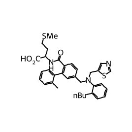 CCCCc1ccccc1N(Cc1ccc(C(=O)NC(CCSC)C(=O)O)c(-c2ccccc2C)c1)Cc1cncs1